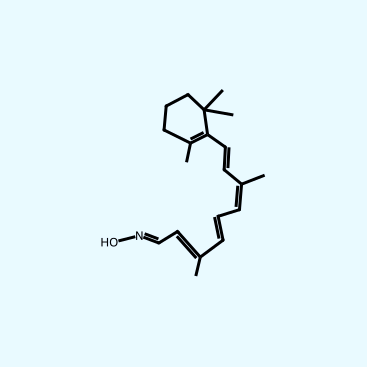 CC(C=C/C=C(/C)C=CC1=C(C)CCCC1(C)C)=CC=NO